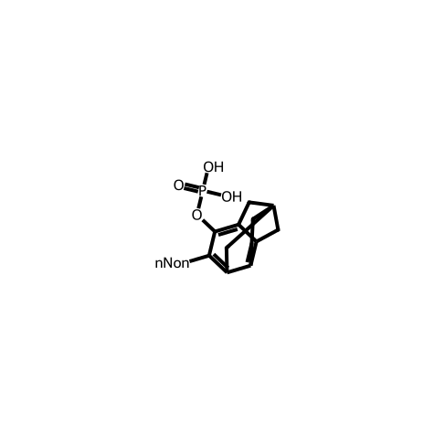 CCCCCCCCCc1c2c3c4c(c1OP(=O)(O)O)CC(C3)(C2)C4